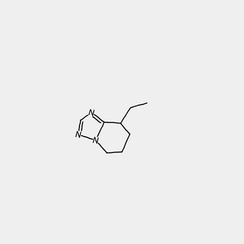 CCC1CCCn2ncnc21